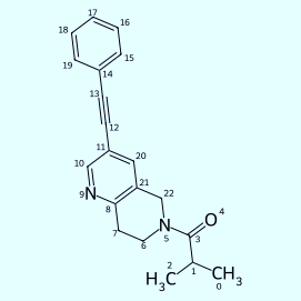 CC(C)C(=O)N1CCc2ncc(C#Cc3ccccc3)cc2C1